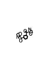 O=C(C1=NCCO1)c1cccc(C(=O)C2=NCCO2)c1